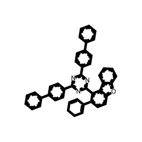 C1=CC(c2ccc3oc4ccccc4c3c2-c2nc(-c3ccc(-c4ccccc4)cc3)nc(-c3ccc(-c4ccccc4)cc3)n2)=CCC1